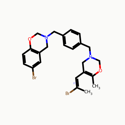 CC1=C(/C=C(\C)Br)CN(Cc2ccc(CN3COc4ccc(Br)cc4C3)cc2)CO1